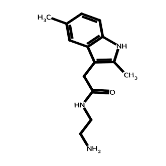 Cc1ccc2[nH]c(C)c(CC(=O)NCCN)c2c1